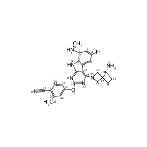 CNc1cc(F)cc2c1[nH]c1nc(Oc3cnc(C#N)c(C)c3)nc(N3CC4(CC[C@H]4N)C3)c12